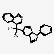 OC(c1ccc2c(cnn2-c2ccccc2)c1)(c1cncc2ccccc12)C(F)(F)F